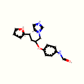 O=CNc1ccc(OC(CCc2ccco2)Cn2ccnc2)cc1